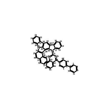 c1ccc(-c2ccc(-c3nc(-n4c5ccccc5c5cc6c7ccccc7n7c8ccc9ccccc9c8c(c54)c67)nc4ccccc34)cc2)cc1